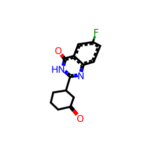 O=C1CCCC(c2nc3ccc(F)cc3c(=O)[nH]2)C1